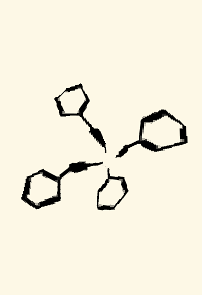 C(#[C][Sn]([C]#Cc1ccccc1)([C]#Cc1ccccc1)[c]1ccccc1)c1ccccc1